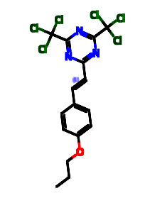 CCCOc1ccc(/C=C/c2nc(C(Cl)(Cl)Cl)nc(C(Cl)(Cl)Cl)n2)cc1